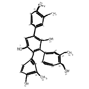 Cc1cc(-c2cc(O)c(-c3ccc(O)c(C)c3)c(-c3ccc(O)c(C)c3)c2O)ccc1O